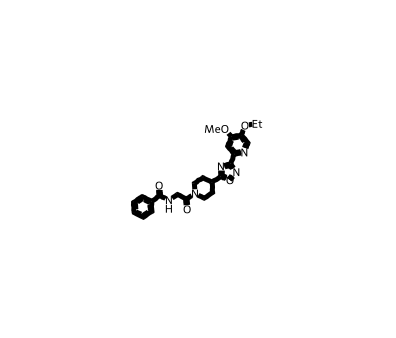 CCOc1cnc(-c2noc(C3CCN(C(=O)CNC(=O)c4ccccc4)CC3)n2)cc1OC